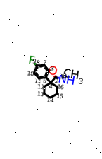 CNC(=O)C1(c2ccc(F)cc2)CCCCC1